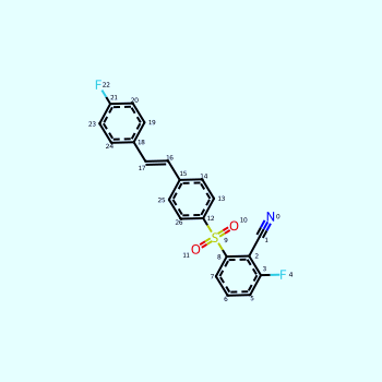 N#Cc1c(F)cccc1S(=O)(=O)c1ccc(/C=C/c2ccc(F)cc2)cc1